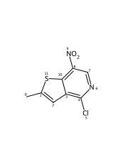 Cc1cc2c(Cl)ncc([N+](=O)[O-])c2s1